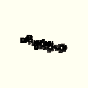 CCN(CC)CCCNC(=O)c1ccc(Nc2cccc(C=Cc3ccncc3)c2)c(C)c1